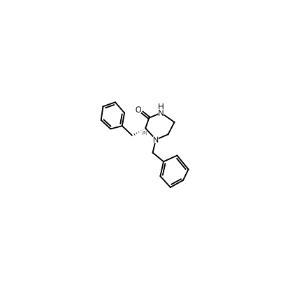 O=C1NCCN(Cc2ccccc2)[C@@H]1Cc1ccccc1